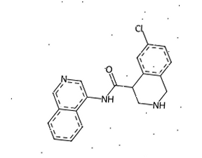 O=C(Nc1cncc2ccccc12)C1CNCc2ccc(Cl)cc21